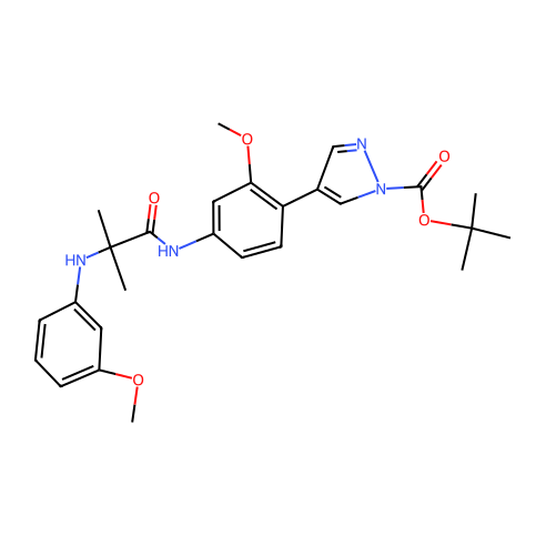 COc1cccc(NC(C)(C)C(=O)Nc2ccc(-c3cnn(C(=O)OC(C)(C)C)c3)c(OC)c2)c1